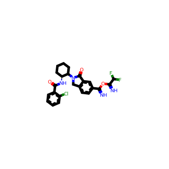 N=C(OC(=N)C(F)F)c1ccc2c(c1)C(=O)N(C1CCCC[C@H]1NC(=O)c1ccccc1Cl)C2